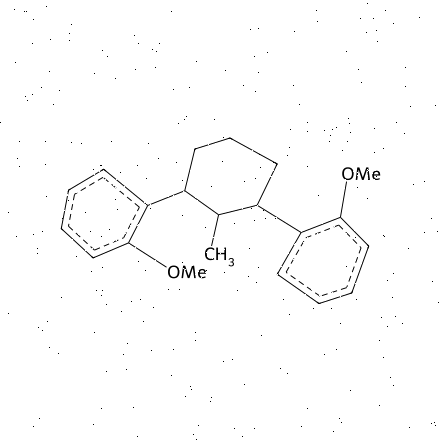 COc1ccccc1C1CCCC(c2ccccc2OC)C1C